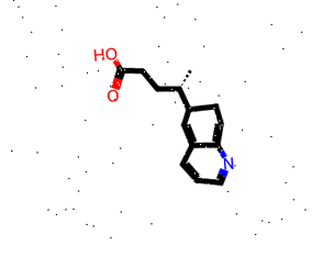 C[C@@H](CCC(=O)O)C1C=c2cccnc2=CC1